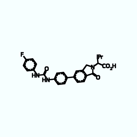 CC(C)C(C(=O)O)N1Cc2cc(-c3ccc(NC(=O)Nc4ccc(F)cc4)cc3)ccc2C1=O